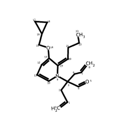 C=CCC(C=O)(CC=C)N1C=CC=C(OCC2CC2)/C1=C\CCC